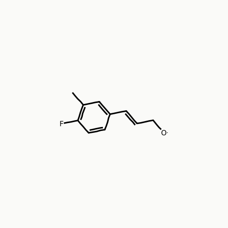 Cc1cc(C=CC[O])ccc1F